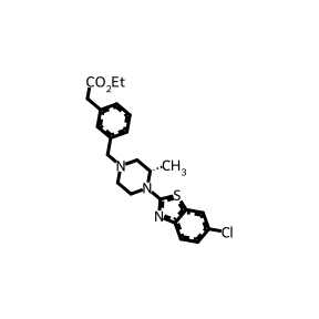 CCOC(=O)Cc1cccc(CN2CCN(c3nc4ccc(Cl)cc4s3)[C@@H](C)C2)c1